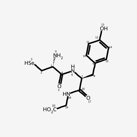 N[C@@H](C[SeH])C(=O)N[C@@H](Cc1ccc(O)cc1)C(=O)NCC(=O)O